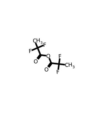 CC(F)(F)C(=O)OC(=O)C(C)(F)F